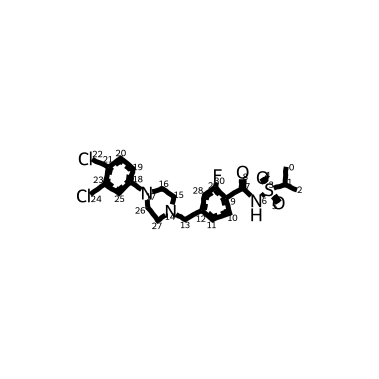 CC(C)S(=O)(=O)NC(=O)c1ccc(CN2CCN(c3ccc(Cl)c(Cl)c3)CC2)cc1F